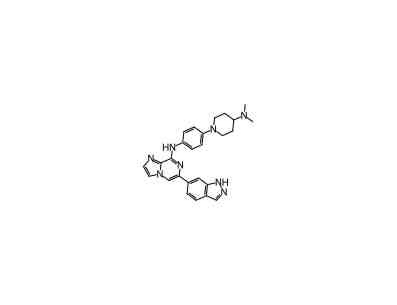 CN(C)C1CCN(c2ccc(Nc3nc(-c4ccc5cn[nH]c5c4)cn4ccnc34)cc2)CC1